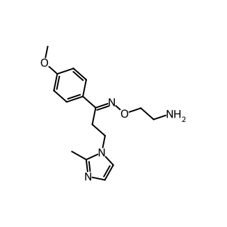 COc1ccc(C(CCn2ccnc2C)=NOCCN)cc1